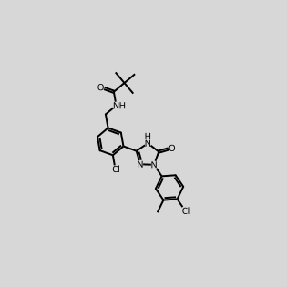 Cc1cc(-n2nc(-c3cc(CNC(=O)C(C)(C)C)ccc3Cl)[nH]c2=O)ccc1Cl